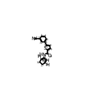 N#Cc1cccc(-c2ccc(C(=O)N[C@@H]3C[C@H]4CC[C@@H]3N4)s2)c1